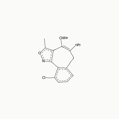 CCCC1=C(OC)c2c(noc2C)-c2c(Cl)cccc2C1